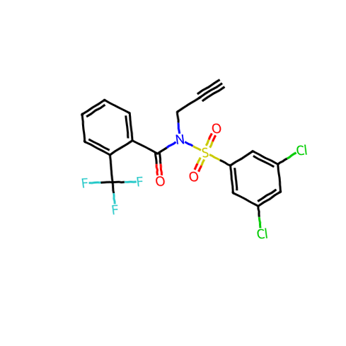 C#CCN(C(=O)c1ccccc1C(F)(F)F)S(=O)(=O)c1cc(Cl)cc(Cl)c1